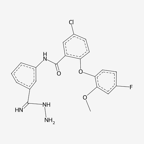 COc1cc(F)ccc1Oc1ccc(Cl)cc1C(=O)Nc1cccc(C(=N)NN)c1